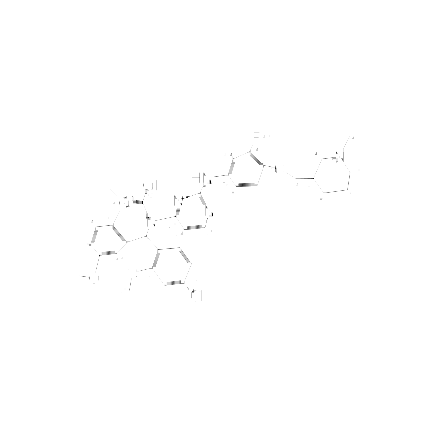 COc1ccc(OC)c(C(c2ccc(Cl)cc2OC)N(C(=O)O)c2ccnc(Nc3ccc(OCC4CCCN(C)C4)c(F)c3)n2)c1